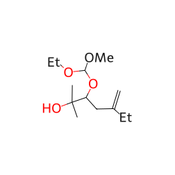 C=C(CC)CC(OC(OC)OCC)C(C)(C)O